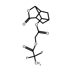 CC(F)(F)C(=O)OCC(=O)OC1C2CC3C(=O)OC1C3C2